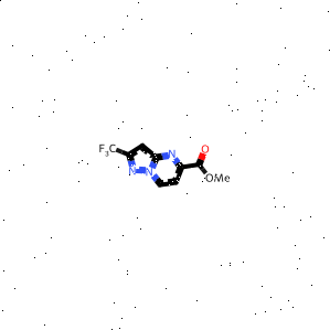 COC(=O)c1ccn2nc(C(F)(F)F)cc2n1